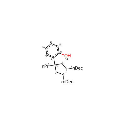 CCCCCCCCCCCCC(CCC)(CCCCCCCCCCCC)c1ccccc1O